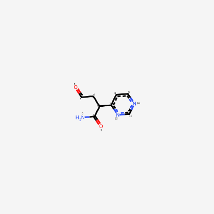 NC(=O)C(CC=O)c1ccncn1